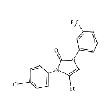 CCc1cn(-c2cccc(C(F)(F)F)c2)c(=O)n1-c1ccc(Cl)cc1